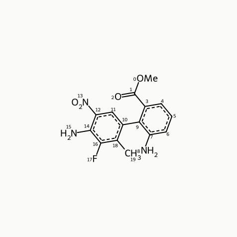 COC(=O)c1cccc(N)c1-c1cc([N+](=O)[O-])c(N)c(F)c1C